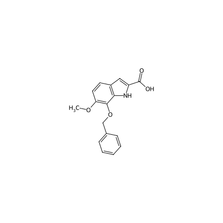 COc1ccc2cc(C(=O)O)[nH]c2c1OCc1ccccc1